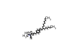 CCCCCCCCC(CCCCCC)COc1ccc(CCOC(=O)/C(C#N)=C(/C)O)cc1